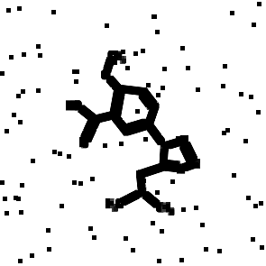 COc1ccc(-n2nnnc2CN(C)C)cc1C(=O)O